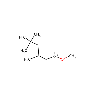 CO[SiH2]CC(C)CC(C)(C)C